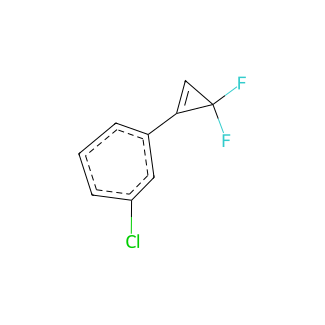 FC1(F)C=C1c1cccc(Cl)c1